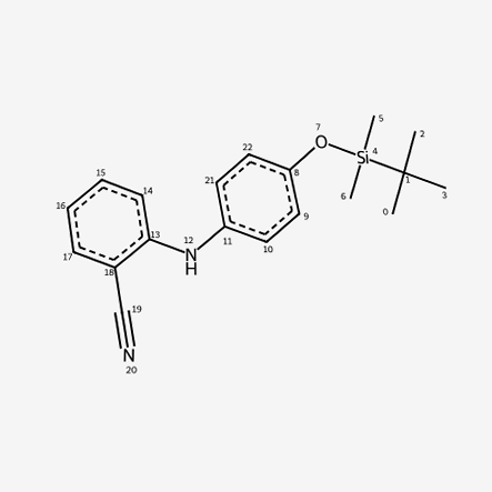 CC(C)(C)[Si](C)(C)Oc1ccc(Nc2ccccc2C#N)cc1